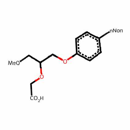 CCCCCCCCCc1ccc(OCC(COC)OCC(=O)O)cc1